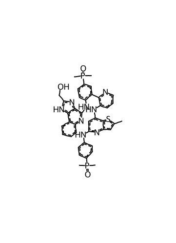 Cc1cc2nc(Nc3ccc(P(C)(C)=O)cc3)cc(Nc3cccnc3-c3cc(P(C)(C)=O)ccc3Nc3nc4ccccc4c4[nH]c(CO)nc34)c2s1